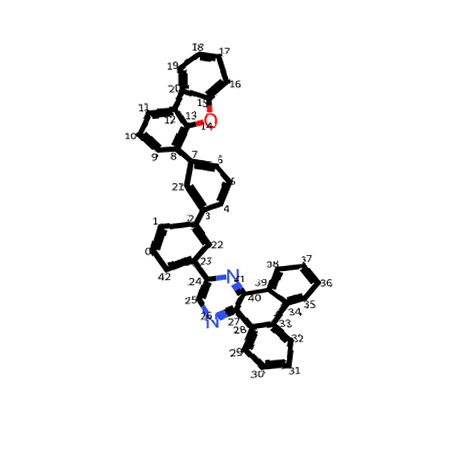 c1cc(-c2cccc(-c3cccc4c3oc3ccccc34)c2)cc(-c2cnc3c4ccccc4c4ccccc4c3n2)c1